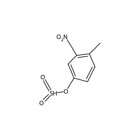 Cc1ccc(O[SH](=O)=O)cc1[N+](=O)[O-]